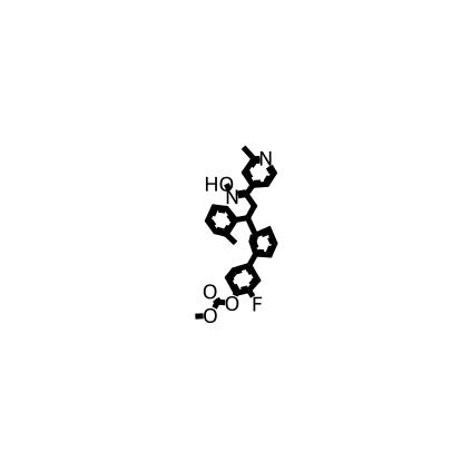 COC(=O)Oc1ccc(-c2cccc(C(CC(=NO)c3ccnc(C)c3)c3ccccc3C)c2)cc1F